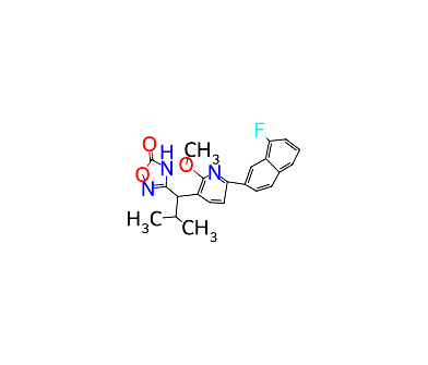 COc1nc(-c2ccc3cccc(F)c3c2)ccc1C(c1noc(=O)[nH]1)C(C)C